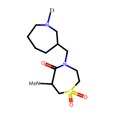 CCN1CCCCC(CN2CCS(=O)(=O)CC(NC)C2=O)C1